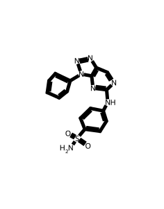 NS(=O)(=O)c1ccc(Nc2ncc3nnn(-c4ccccc4)c3n2)cc1